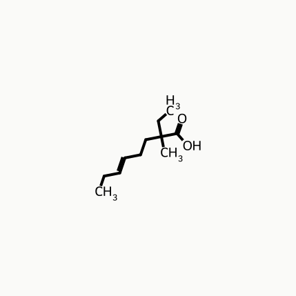 CCC=CCCC(C)(CC)C(=O)O